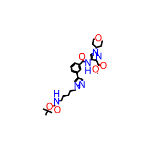 COC(=O)c1nn(C2CCOCC2)cc1NC(=O)c1cccc(-c2cnn(CCCCCNC(=O)OC(C)(C)C)c2)c1